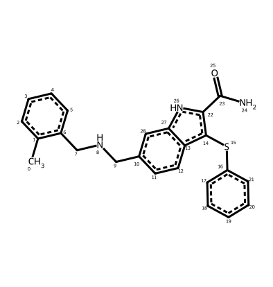 Cc1ccccc1CNCc1ccc2c(Sc3ccccc3)c(C(N)=O)[nH]c2c1